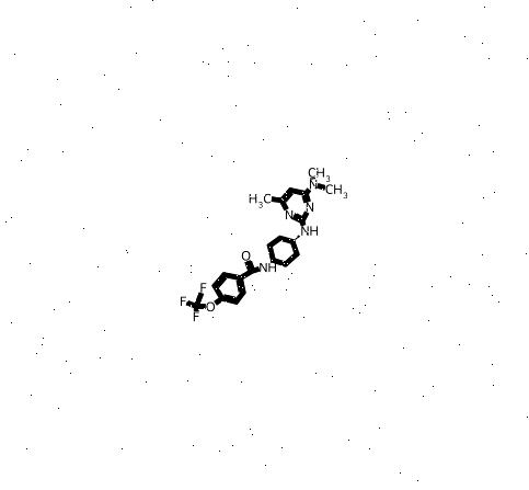 Cc1cc(N(C)C)nc(N[C@H]2CC[C@@H](NC(=O)c3ccc(OC(F)(F)F)cc3)CC2)n1